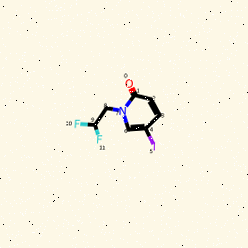 O=c1ccc(I)cn1CC(F)F